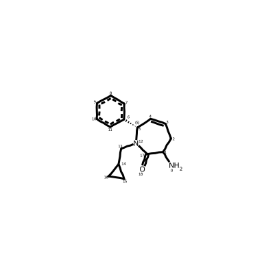 NC1CC=C[C@@H](c2ccccc2)N(CC2CC2)C1=O